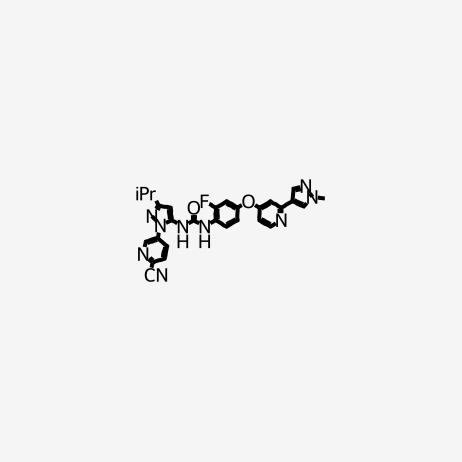 CC(C)c1cc(NC(=O)Nc2ccc(Oc3ccnc(-c4cnn(C)c4)c3)cc2F)n(-c2ccc(C#N)nc2)n1